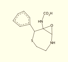 O=C(O)NC12OC1NCCSC2c1ccccc1